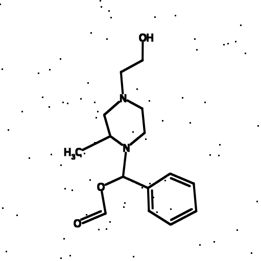 CC1CN(CCO)CCN1C(OC=O)c1ccccc1